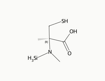 CN([SiH3])[C@@](C)(CS)C(=O)O